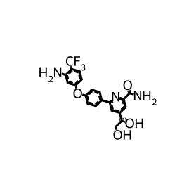 NC(=O)c1cc([C@@H](O)CO)cc(-c2ccc(Oc3ccc(C(F)(F)F)c(N)c3)cc2)n1